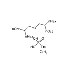 CCCCCCCCC(CCCCCC)COCC(CCCCCC)CCCCCCCC.O=P(O)(O)O.[CaH2]